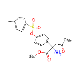 COC(=O)CC(N)(C(=O)OC(C)(C)C)c1ccc(OS(=O)(=O)c2ccc(C)cc2)cc1